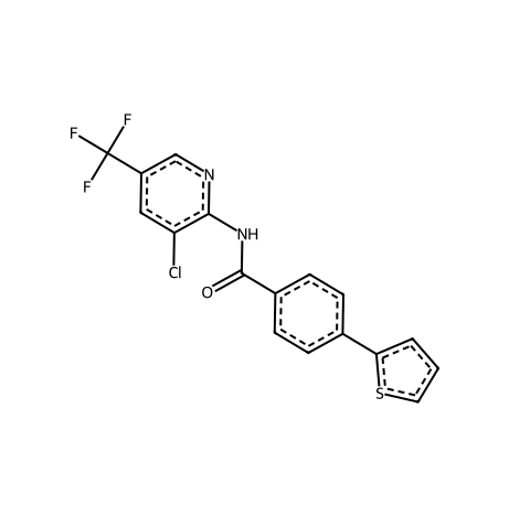 O=C(Nc1ncc(C(F)(F)F)cc1Cl)c1ccc(-c2cccs2)cc1